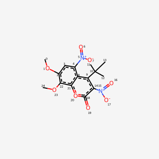 COc1cc([N+](=O)[O-])c2c(C(C)(C)C)c([N+](=O)[O-])c(=O)oc2c1OC